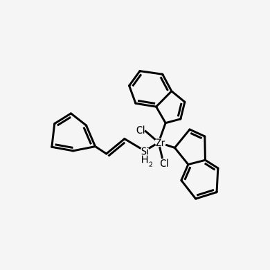 [Cl][Zr]([Cl])([SiH2]C=Cc1ccccc1)([CH]1C=Cc2ccccc21)[CH]1C=Cc2ccccc21